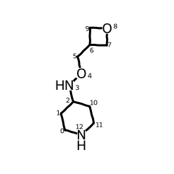 C1CC(NOCC2COC2)CCN1